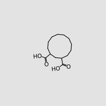 O=C(O)C1CCCCCCCCCC(C(=O)O)C1